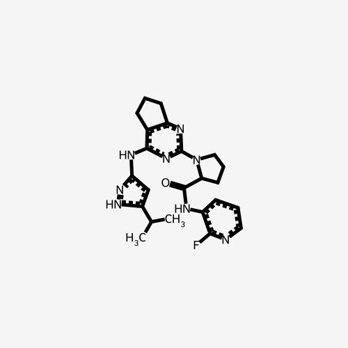 CC(C)c1cc(Nc2nc(N3CCCC3C(=O)Nc3cccnc3F)nc3c2CCC3)n[nH]1